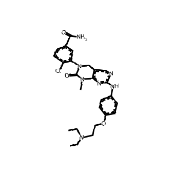 CCN(CC)CCOc1ccc(Nc2ncc3c(n2)N(C)C(=O)N(c2cc(C(N)=O)ccc2Cl)C3)cc1